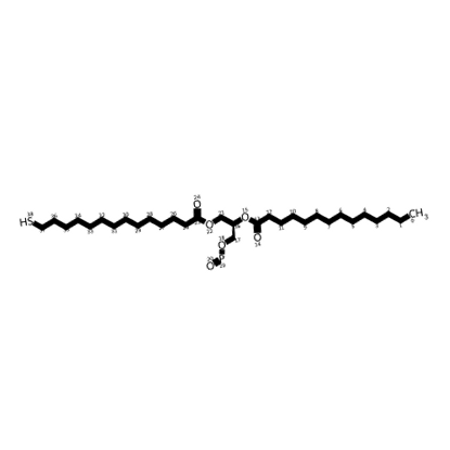 CCCCCCCCCCCCCC(=O)O[C@@H](COP=O)COC(=O)CCCCCCCCCCCCCS